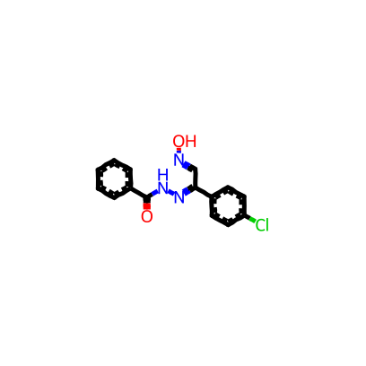 O=C(NN=C(C=NO)c1ccc(Cl)cc1)c1ccccc1